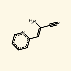 N#C/C(N)=C/c1ccccn1